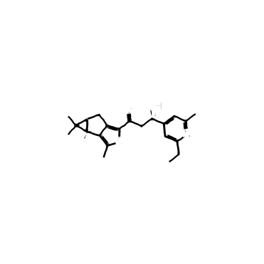 CCc1cc([C@H](O)CC(=O)c2sc(C)c3c2CC2[C@H]3C2(C)C)cc(C)n1